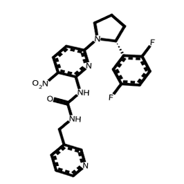 O=C(NCc1cccnc1)Nc1nc(N2CCC[C@@H]2c2cc(F)ccc2F)ccc1[N+](=O)[O-]